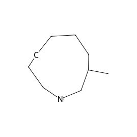 CC1CCCCCC[N]C1